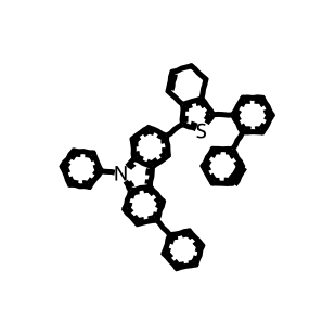 c1cccc(-c2ccccc2-c2sc(-c3ccc4c(c3)c3cc(-c5ccccc5)ccc3n4-c3ccccc3)c3c2CCC=C3)c#1